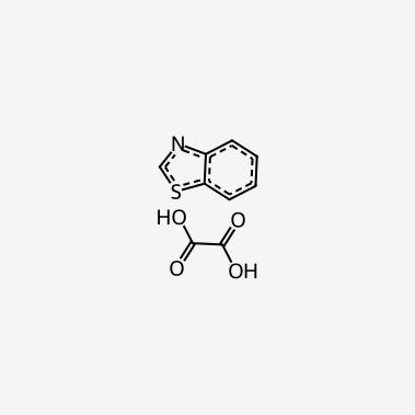 O=C(O)C(=O)O.c1ccc2scnc2c1